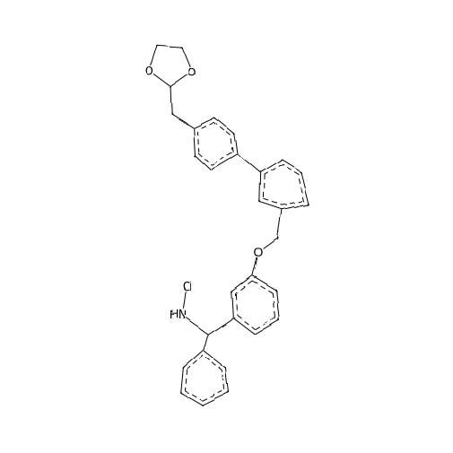 ClNC(c1ccccc1)c1cccc(OCc2cccc(-c3ccc(CC4OCCO4)cc3)c2)c1